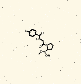 COB(O)C1CCCN1C(=O)CNC(=O)c1ccc(I)cc1